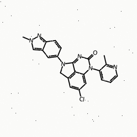 Cc1ncccc1-n1c(=O)nc2c3c(cc(Cl)cc31)CN2c1ccc2nn(C)cc2c1